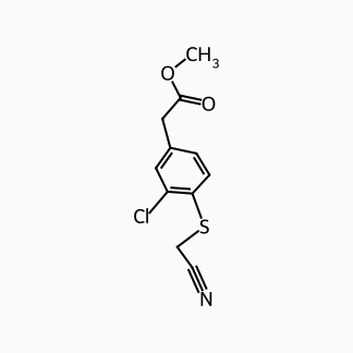 COC(=O)Cc1ccc(SCC#N)c(Cl)c1